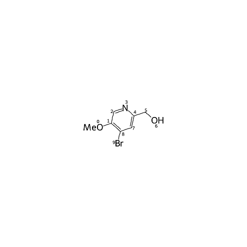 COc1cnc(CO)cc1Br